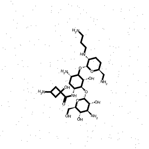 NCCCN[C@@H]1CC[C@@H](CN)O[C@@H]1OC1[C@@H](N)C[C@@H](NC(=O)C2(O)CC(N)C2)[C@H](O[C@H]2O[C@H](CO)[C@@H](O)[C@H](N)[C@H]2O)[C@H]1O